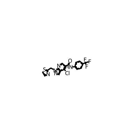 O=C(Nc1ccc(C(F)(F)F)cc1)c1cnc2c(cnn2Cc2nccs2)c1Cl